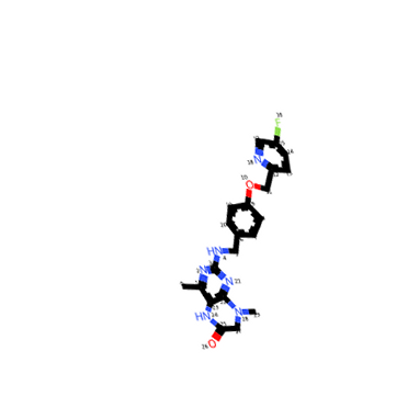 Cc1nc(NCc2ccc(OCc3ccc(F)cn3)cc2)nc2c1NC(=O)CN2C